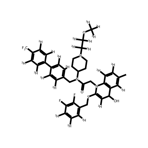 [2H]C1=C(SCc2c([2H])c([2H])c([2H])c(F)c2F)N(CC(=O)N(Cc2c([2H])c([2H])c(-c3c([2H])c([2H])c(C(F)(F)F)c([2H])c3[2H])c([2H])c2[2H])C2CCN(C([2H])([2H])C([2H])([2H])OC([2H])([2H])[2H])CC2)c2c([2H])c([2H])c(C)c([2H])c2C1O